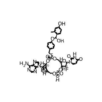 Cc1cc(O)ccc1C(O)Oc1ccc(CS[P@@]2(=O)OC[C@H]3O[C@@H](n4ccc(=O)[nH]c4=O)[C@H](F)[C@@H]3OP(=O)(O)OC[C@H]3O[C@@H](n4cnc5c(N)ncnc54)[C@H](O2)[C@@H]3F)cc1